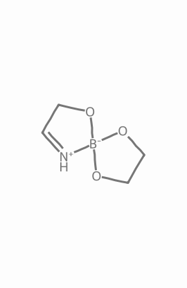 C1=[NH+][B-]2(OC1)OCCO2